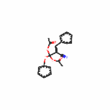 CC(=O)OC(OC(C)=O)(Oc1ccccc1)C(C#N)=Cc1ccccc1